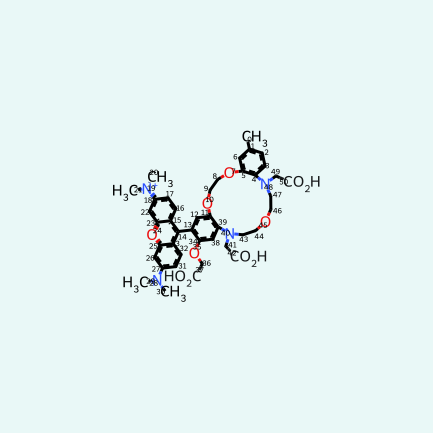 Cc1ccc2c(c1)OCCOc1cc(-c3c4ccc(=[N+](C)C)cc-4oc4cc(N(C)C)ccc34)c(OCC(=O)O)cc1N(CC(=O)O)CCOCCN2CC(=O)O